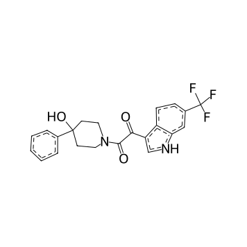 O=C(C(=O)N1CCC(O)(c2ccccc2)CC1)c1c[nH]c2cc(C(F)(F)F)ccc12